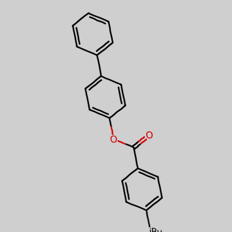 CCC(C)c1ccc(C(=O)Oc2ccc(-c3ccccc3)cc2)cc1